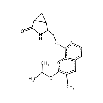 Cc1cc2ccnc(OCC3NC(=O)C4CC34)c2cc1OC(C)C